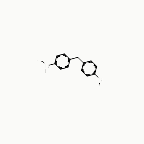 ClNc1ccc(Cc2ccc(NCl)cc2)cc1